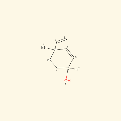 C=CC1(CC)C=C[C@@](C)(O)CC1